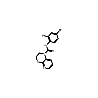 O=C(Nc1ccc(Br)cc1F)N1CCSc2ncccc21